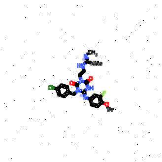 C/N=C(\NC)NCCn1c(=O)[nH]/c(=N\c2ccc(OC(C)C)c(F)c2)n(Cc2ccc(Cl)cc2)c1=O